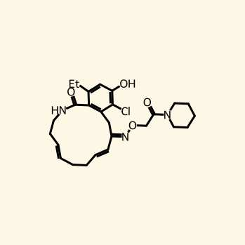 CCc1cc(O)c(Cl)c2c1C(=O)NCC/C=C/CC/C=C/C(=N/OCC(=O)N1CCCCC1)C2